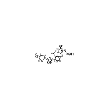 COc1ccc(-c2nc(-c3cccc4c3CC[C@]43CC(=O)N(CCO)C3)no2)cc1